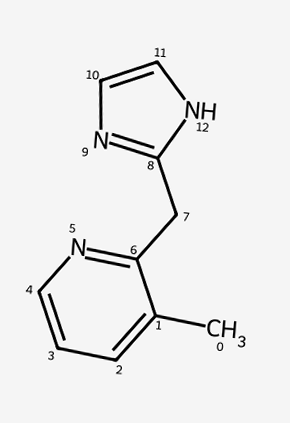 Cc1cccnc1Cc1ncc[nH]1